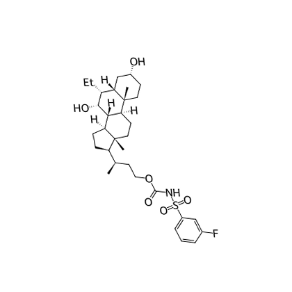 CC[C@H]1[C@@H](O)[C@@H]2[C@H](CC[C@]3(C)[C@@H]([C@H](C)CCOC(=O)NS(=O)(=O)c4cccc(F)c4)CC[C@@H]23)[C@@]2(C)CC[C@@H](O)C[C@@H]12